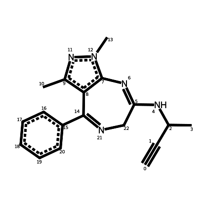 C#CC(C)NC1=Nc2c(c(C)nn2C)C(c2ccccc2)=NC1